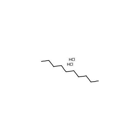 CCCCCCCCCC.Cl.Cl